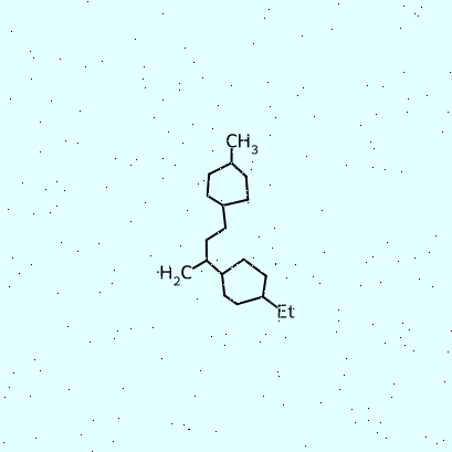 [CH2]C(CCC1CCC(C)CC1)C1CCC(CC)CC1